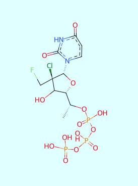 C[C@@H](OP(=O)(O)OP(=O)(O)OP(=O)(O)O)[C@H]1O[C@@H](n2ccc(=O)[nH]c2=O)[C@@](Cl)(CF)C1O